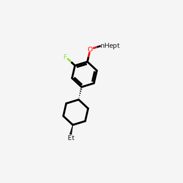 CCCCCCCOc1ccc([C@H]2CC[C@H](CC)CC2)cc1F